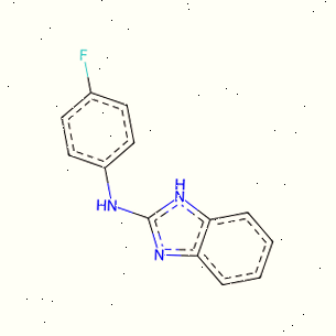 Fc1ccc(Nc2nc3ccccc3[nH]2)cc1